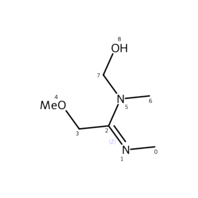 C/N=C(/COC)N(C)CO